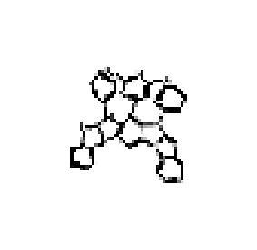 Brc1cc(-c2c3c(cc4c2n(-c2ccccc2)c2nc5ccccc5n42)n2c4ccccc4cc2n3-c2ccccc2)nc(Br)n1